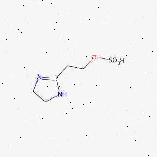 O=S(=O)(O)OCCC1=NCCN1